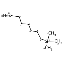 CCCCCCCCCCC[CH][Si](C)(C)C